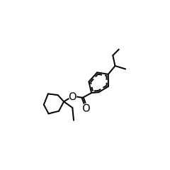 CCC(C)c1ccc(C(=O)OC2(CC)CCCCC2)cc1